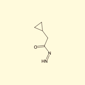 N=NC(=O)CC1CC1